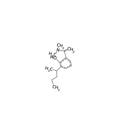 C=C(c1cccc(C(C)CCC)c1O)N(C)C